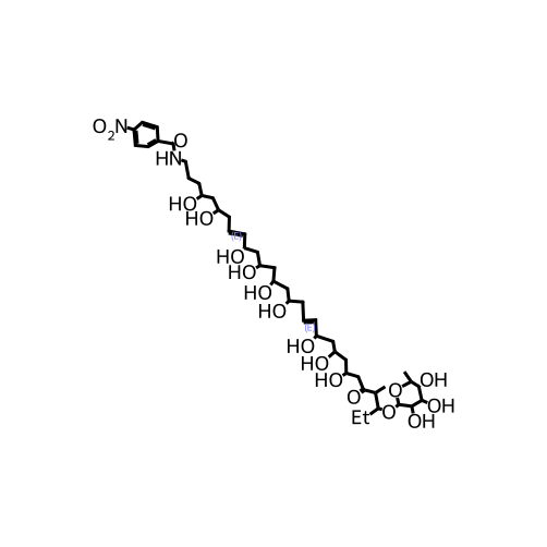 CCC(OC1OC(C)C(O)C(O)C1O)C(C)C(=O)CC(O)CC(O)CC(O)/C=C/CC(O)CC(O)CC(O)CC(O)/C=C/CC(O)CC(O)CCCNC(=O)c1ccc([N+](=O)[O-])cc1